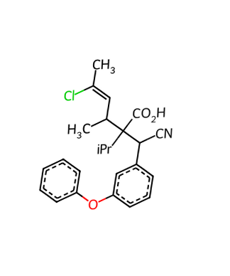 CC(Cl)=CC(C)C(C(=O)O)(C(C)C)C(C#N)c1cccc(Oc2ccccc2)c1